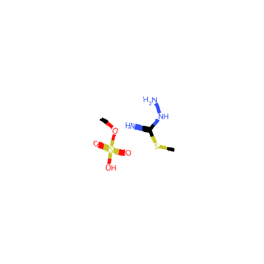 COS(=O)(=O)O.CSC(=N)NN